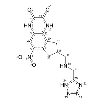 O=c1[nH]c2cc([N+](=O)[O-])c3c(c2[nH]c1=O)CC(CNCc1nnn[nH]1)C3